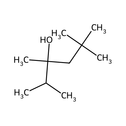 CC(C)C(C)(O)CC(C)(C)C